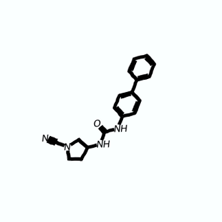 N#CN1CCC(NC(=O)Nc2ccc(-c3ccccc3)cc2)C1